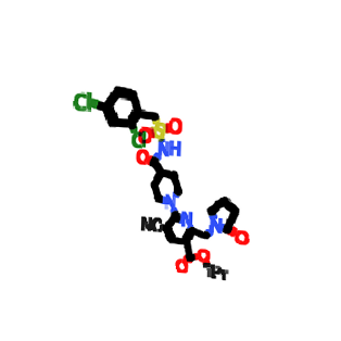 CC(C)OC(=O)c1cc(C#N)c(N2CCC(C(=O)NS(=O)(=O)Cc3ccc(Cl)cc3Cl)CC2)nc1CN1CCCC1=O